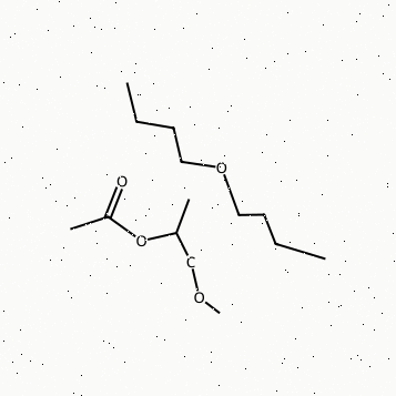 CCCCOCCCC.COCC(C)OC(C)=O